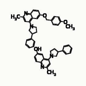 COc1ccc(COc2ccc3nc(C)cc(N4CCC(c5ccccc5)C4)c3c2)cc1.Cc1cc(N2CCC(c3ccccc3)C2)c2cc(O)ccc2n1